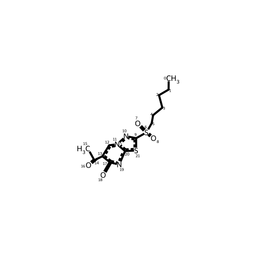 CCCCCCS(=O)(=O)c1nn2cc(C(C)=O)c(=O)nc2s1